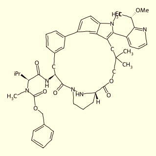 CCn1c(-c2cccnc2[C@H](C)OC)c2c3cc(ccc31)-c1cccc(c1)C[C@H](NC(=O)[C@H](C(C)C)N(C)C(=O)OCc1ccccc1)C(=O)N1CCC[C@H](N1)C(=O)OCC(C)(C)C2